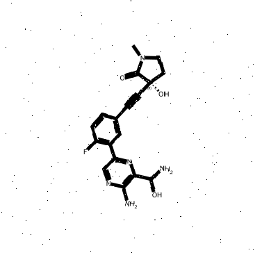 CN1CC[C@@](O)(C#Cc2ccc(F)c(-c3cnc(N)c(C(N)O)n3)c2)C1=O